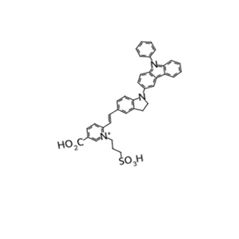 O=C(O)c1ccc(/C=C/c2ccc3c(c2)CCN3c2ccc3c(c2)c2ccccc2n3-c2ccccc2)[n+](CCCS(=O)(=O)O)c1